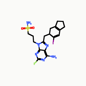 Nc1nc(F)nc2c1nc(CC1CC3=C(C=C1I)CCC3)n2CCCS(N)(=O)=O